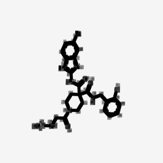 CCc1ccc2[nH]c(NC(=O)C3(C(=O)NCc4ccccc4Cl)CCN(C(=O)CNC(=O)O)CC3)nc2c1